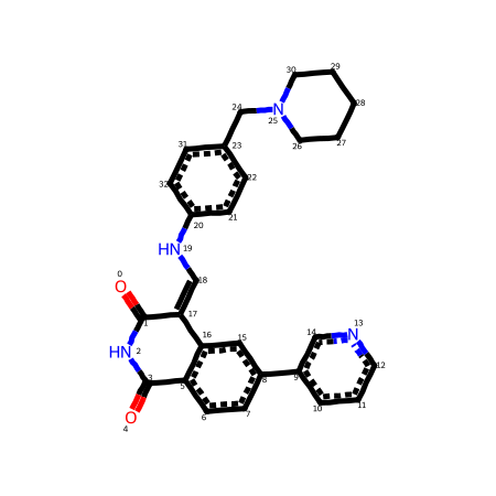 O=C1NC(=O)c2ccc(-c3cccnc3)cc2/C1=C/Nc1ccc(CN2CCCCC2)cc1